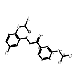 CCc1ccc(OC(CC)CC)c(CCC(=O)c2cccc(OC(CC)CC)c2)c1